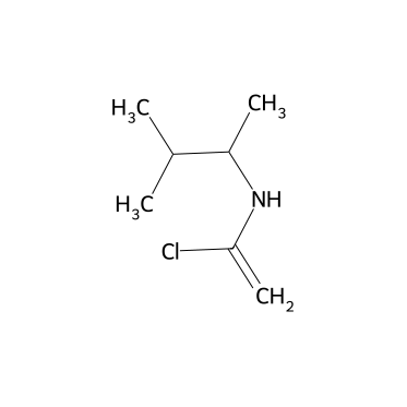 C=C(Cl)NC(C)C(C)C